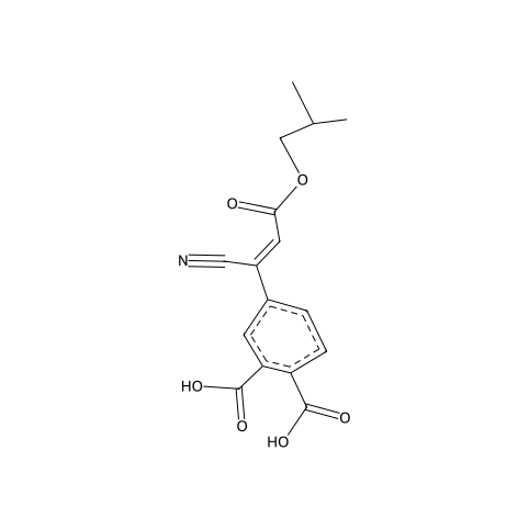 CC(C)COC(=O)C=C(C#N)c1ccc(C(=O)O)c(C(=O)O)c1